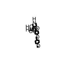 COc1ccc(COc2ccc(S(=O)(=O)C3CCNCC3(O)C(=O)NO)cc2)cc1